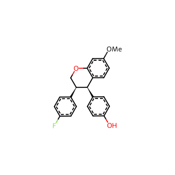 COc1ccc2c(c1)OC[C@H](c1ccc(F)cc1)[C@@H]2c1ccc(O)cc1